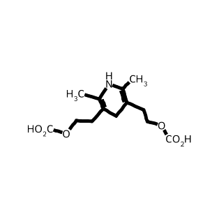 CC1=C(CCOC(=O)O)CC(CCOC(=O)O)=C(C)N1